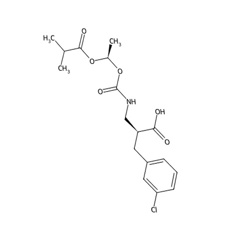 CC(C)C(=O)O[C@@H](C)OC(=O)NC[C@H](Cc1cccc(Cl)c1)C(=O)O